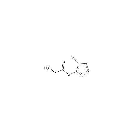 CCC(=O)Oc1occc1Br